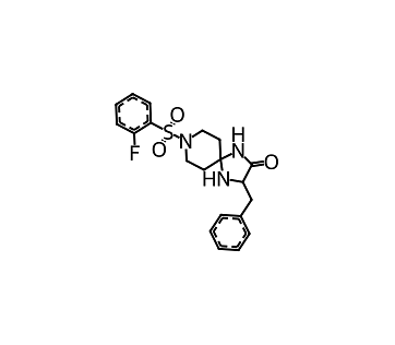 O=C1NC2(CCN(S(=O)(=O)c3ccccc3F)CC2)NC1Cc1ccccc1